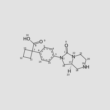 O=C1N(c2ccc(C3(C(=O)O)CCC3)cc2)C[C@@H]2CNCCN12